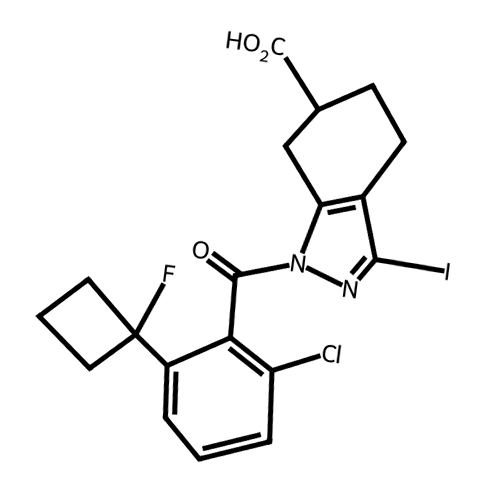 O=C(O)C1CCc2c(I)nn(C(=O)c3c(Cl)cccc3C3(F)CCC3)c2C1